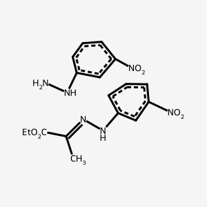 CCOC(=O)C(C)=NNc1cccc([N+](=O)[O-])c1.NNc1cccc([N+](=O)[O-])c1